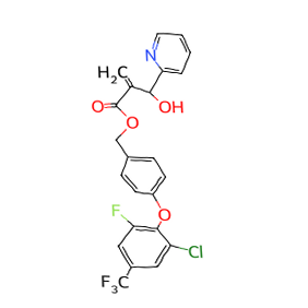 C=C(C(=O)OCc1ccc(Oc2c(F)cc(C(F)(F)F)cc2Cl)cc1)C(O)c1ccccn1